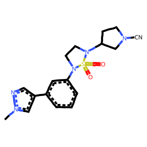 Cn1cc(-c2cccc(N3CCN(C4CCN(C#N)C4)S3(=O)=O)c2)cn1